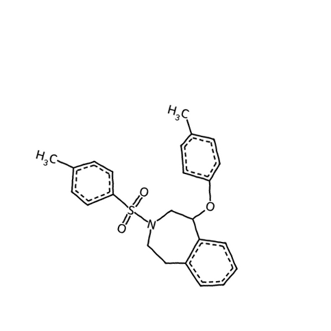 Cc1ccc(OC2CN(S(=O)(=O)c3ccc(C)cc3)CCc3ccccc32)cc1